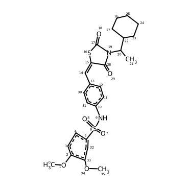 COc1ccc(S(=O)(=O)Nc2ccc(C=C3SC(=O)N(C(C)C4CCCCC4)C3=O)cc2)cc1OC